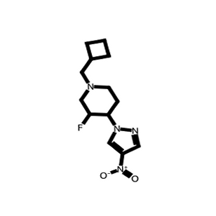 O=[N+]([O-])c1cnn(C2CCN(CC3CCC3)CC2F)c1